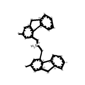 Cc1cc(C[SiH2]Cc2cc(C)cc3c2-c2ccccc2C3)c2c(c1)Cc1ccccc1-2